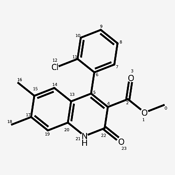 COC(=O)c1c(-c2ccccc2Cl)c2cc(C)c(C)cc2[nH]c1=O